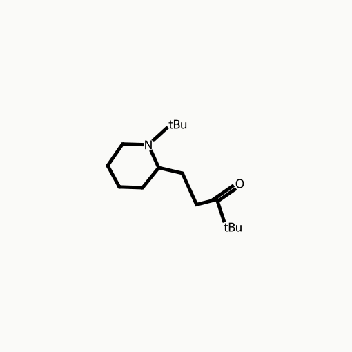 CC(C)(C)C(=O)CCC1CCCCN1C(C)(C)C